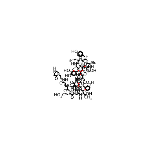 CC[C@H](C)[C@H](NC(=O)[C@H](CO)NC(=O)[C@H](Cc1ccc(O)cc1)NC(=O)[C@H](CC(=O)O)NC(=O)[C@H](CO)NC(=O)[C@@H](NC(=O)[C@H](Cc1ccccc1)NC(=O)[C@@H](NC(=O)CNC(=O)[C@H](CCC(=O)O)NC(=O)CSCC(=O)NCCN1CCNCC1=O)[C@@H](C)O)[C@@H](C)O)C(=O)N[C@@H](Cc1ccc(O)cc1)C(=O)N[C@@H](CC(C)C)C(=O)N[C@@H](CC(=O)O)C(=O)N[C@H](C)CCCCN